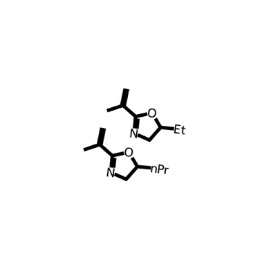 C=C(C)C1=NCC(CC)O1.C=C(C)C1=NCC(CCC)O1